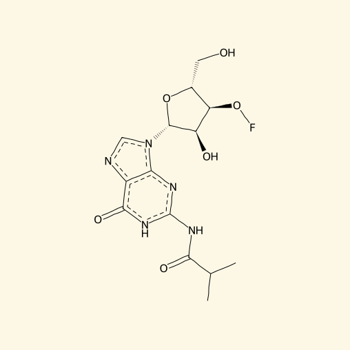 CC(C)C(=O)Nc1nc2c(ncn2[C@@H]2O[C@H](CO)[C@@H](OF)[C@H]2O)c(=O)[nH]1